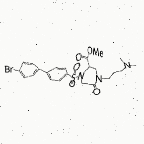 COC(=O)C1CN(CCCN(C)C)C(=O)CN1S(=O)(=O)c1ccc(-c2ccc(Br)cc2)cc1